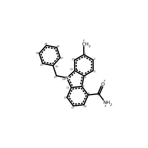 Cc1c[c]c2c3c(C(N)=O)cccc3n(Cc3ccccc3)c2c1